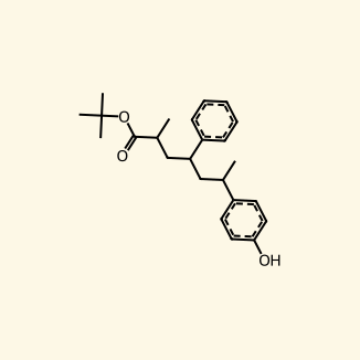 CC(CC(CC(C)c1ccc(O)cc1)c1ccccc1)C(=O)OC(C)(C)C